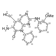 C#Cc1c(N)c(=O)n(-c2ccccc2)c2nc(Nc3ccccc3OC)ncc12